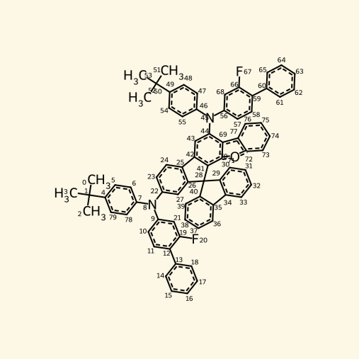 CC(C)(C)c1ccc(N(c2ccc(-c3ccccc3)c(F)c2)c2ccc3c(c2)C2(c4ccccc4-c4ccccc42)c2c-3cc(N(c3ccc(C(C)(C)C)cc3)c3ccc(-c4ccccc4)c(F)c3)c3c2oc2ccccc23)cc1